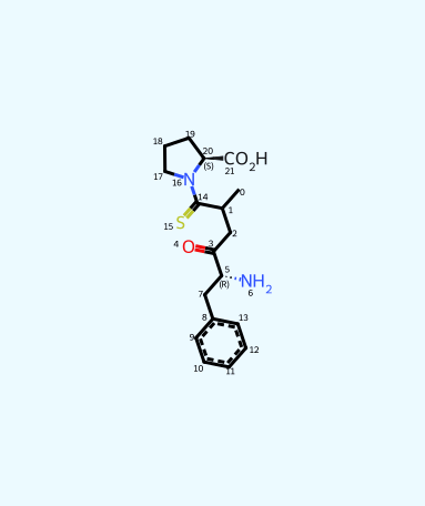 CC(CC(=O)[C@H](N)Cc1ccccc1)C(=S)N1CCC[C@H]1C(=O)O